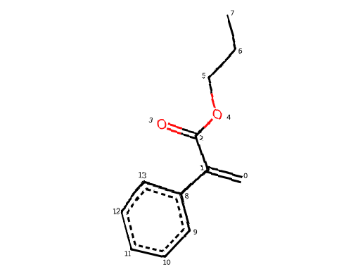 C=C(C(=O)OCCC)c1ccccc1